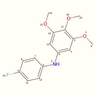 COc1cc(Nc2ccc(F)cc2)cc(OC)c1OC